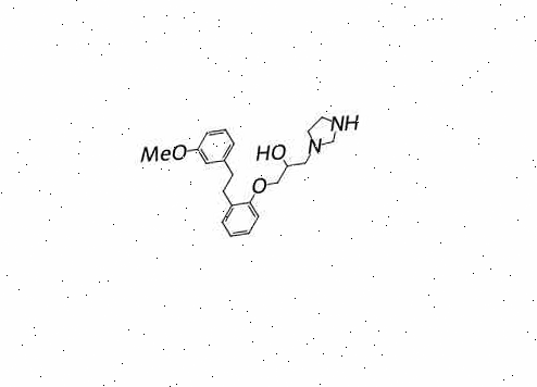 COc1cccc(CCc2ccccc2OCC(O)CN2CCNC2)c1